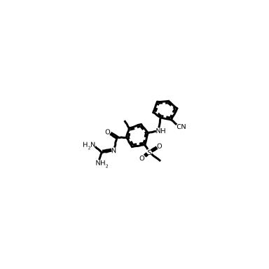 Cc1cc(Nc2ccccc2C#N)c(S(C)(=O)=O)cc1C(=O)N=C(N)N